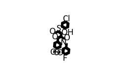 CS(=O)(=O)c1ccc2c3oc(=O)c(Sc4cccc(Cl)c4)c(O)c3c(=O)n(Cc3ccc(F)cc3)c2c1